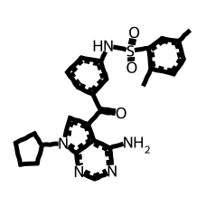 Cc1ccc(C)c(S(=O)(=O)Nc2cccc(C(=O)c3cn(C4CCCC4)c4ncnc(N)c34)c2)c1